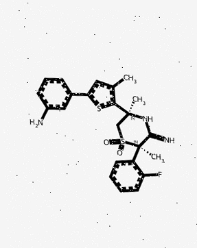 Cc1cc(-c2cccc(N)c2)sc1[C@]1(C)CS(=O)(=O)[C@](C)(c2ccccc2F)C(=N)N1